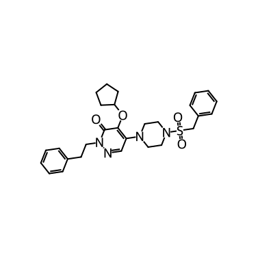 O=c1c(OC2CCCC2)c(N2CCN(S(=O)(=O)Cc3ccccc3)CC2)cnn1CCc1ccccc1